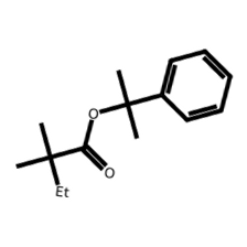 CCC(C)(C)C(=O)OC(C)(C)c1ccccc1